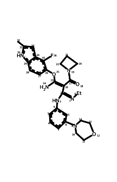 CC/N=C(Nc1cccc(N2CCOCC2)c1)\C(C(=O)N1CCC1)=C(/N)Oc1ccc2[nH]c(C)cc2c1F